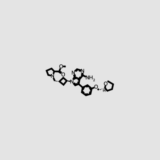 COC(=O)C1CCCN1C[C@H]1C[C@H](n2cc(-c3cccc(OC[C@H]4CCCCO4)c3)c3c(N)ncnc32)C1